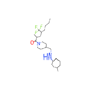 CCCCC(CC(C)C(=O)N1CCC(CNC2CCCC(C)CC2)CC1)C(F)(F)F